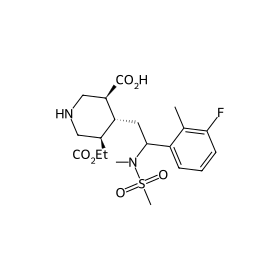 CCOC(=O)[C@H]1CNC[C@@H](C(=O)O)[C@@H]1CC(c1cccc(F)c1C)N(C)S(C)(=O)=O